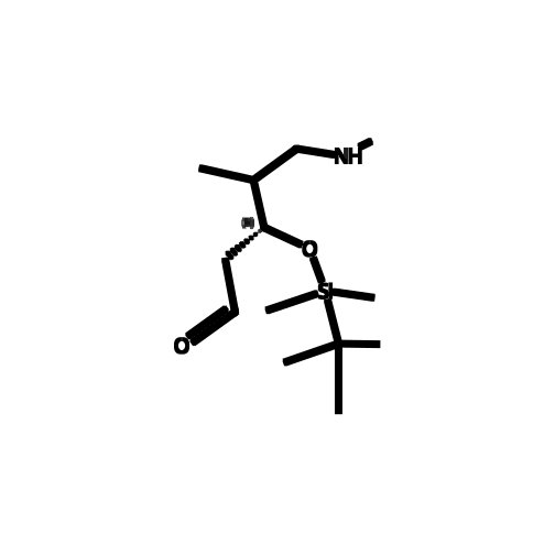 CNCC(C)[C@@H](CC=O)O[Si](C)(C)C(C)(C)C